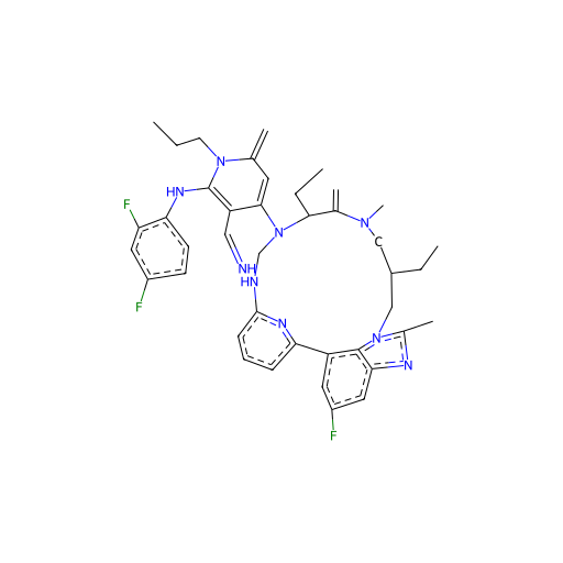 C=C1C(CC)N(C2=CC(=C)N(CCC)C(Nc3ccc(F)cc3F)=C2C=N)CNc2cccc(n2)-c2cc(F)cc3nc(C)n(c23)CC(CC)CN1C